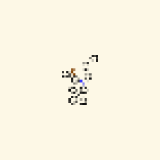 C1=CC(c2ccccc2)=CC(C2C=C(N(c3ccc4c(c3)C(c3ccccc3)(c3ccccc3)c3ccccc3-4)c3ccc4c(c3)sc3ccccc34)C=CC2)C1